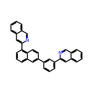 c1cc(-c2ccc3c(-c4cc5ccccc5cn4)cccc3c2)cc(-c2cc3ccccc3cn2)c1